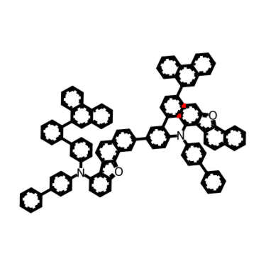 c1ccc(-c2ccc(N(c3cccc(-c4ccccc4-c4cc5ccccc5c5ccccc45)c3)c3cccc4oc5c6cc(-c7ccc(N(c8ccc(-c9ccccc9)cc8)c8cccc9oc%10c%11ccccc%11ccc%10c89)c(-c8ccc(-c9cc%10ccccc%10c%10ccccc9%10)cc8)c7)ccc6ccc5c34)cc2)cc1